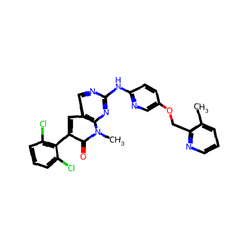 Cc1cccnc1COc1ccc(Nc2ncc3cc(-c4c(Cl)cccc4Cl)c(=O)n(C)c3n2)nc1